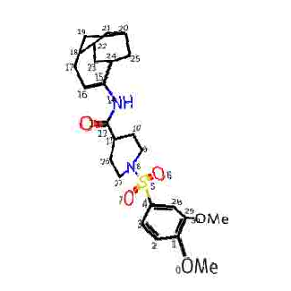 COc1ccc(S(=O)(=O)N2CCC(C(=O)NC3CCC4CC5CC4CC3C5)CC2)cc1OC